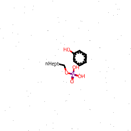 CCCCCCCCOP(=O)(O)O.Oc1ccccc1